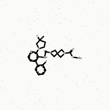 CC1(F)CCN(c2nccc(-c3ccccc3F)c2NC(=O)N2CC3(C2)CN(C(=O)OC(C)(C)C)C3)C1